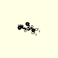 O=C(CCc1c[nH]c2ccccc12)N1CCN(C(=O)c2cc(C(F)(F)F)cc(C(F)(F)F)c2)[C@H](Cc2ccccc2)C1